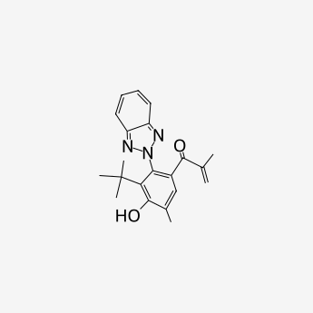 C=C(C)C(=O)c1cc(C)c(O)c(C(C)(C)C)c1-n1nc2ccccc2n1